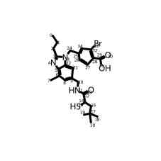 CCCc1nc2c(C)cc(CNC(=O)C(S)CC(C)(C)C)cc2n1Cc1ccc(C(=O)O)c(Br)c1